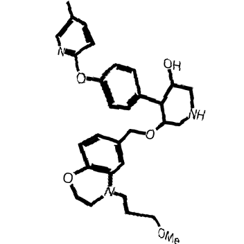 COCCCN1CCOc2ccc(COC3CNCC(O)C3c3ccc(Oc4ccc(C)cn4)cc3)cc21